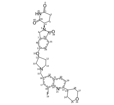 O=C1CC[C@@H](N2Cc3cc(O[C@H]4CCN(Cc5cc(F)c6nc(C7CCOCC7)ccc6c5)C4)ccc3C2=O)C(=O)N1